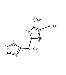 O=C(O)c1nc(Cn2cnnn2)[nH]c1C(=O)O.[Co]